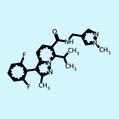 Cc1nn2c(C(C)C)c(C(=O)NCc3cnn(C)c3)ccc2c1-c1c(F)cccc1F